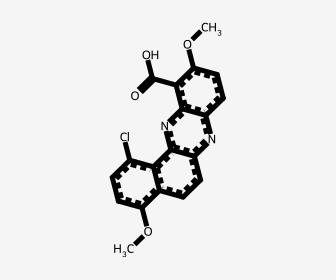 COc1ccc2nc3ccc4c(OC)ccc(Cl)c4c3nc2c1C(=O)O